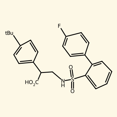 CC(C)(C)c1ccc(C(CNS(=O)(=O)c2ccccc2-c2ccc(F)cc2)C(=O)O)cc1